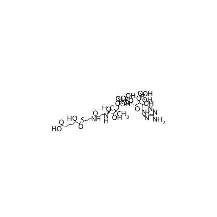 CC(C)(COP(=O)(O)OP(=O)(O)OC[C@H]1O[C@H](n2cnc3c(N)ncnc32)[C@H](O)[C@@H]1OP(=O)(O)O)[C@@H](O)C(=O)NCCC(=O)NCCSC(=O)[C@H](O)CCCC(=O)O